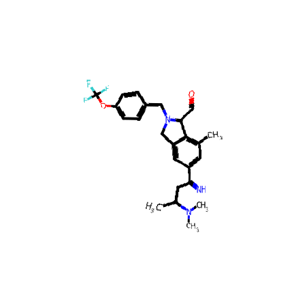 Cc1cc(C(=N)CC(C)N(C)C)cc2c1C(C=O)N(Cc1ccc(OC(F)(F)F)cc1)C2